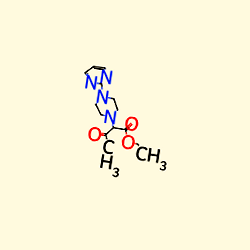 CCOC(=O)C(C(C)=O)N1CCN(c2ncccn2)CC1